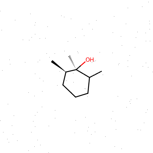 CC1CCC[C@@H](C)[C@@]1(C)O